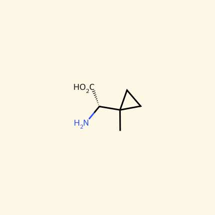 CC1([C@H](N)C(=O)O)CC1